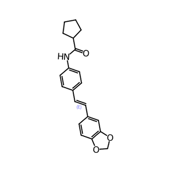 O=C(Nc1ccc(/C=C/c2ccc3c(c2)OCO3)cc1)C1CCCC1